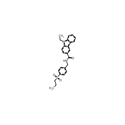 CCCS(=O)(=O)c1ccc(CNC(=O)c2ccc3c(c2)c2ccccc2n3CC)cc1